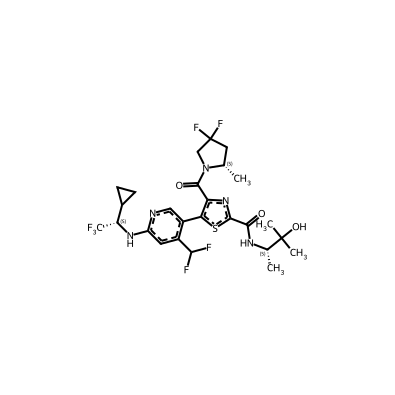 C[C@H](NC(=O)c1nc(C(=O)N2CC(F)(F)C[C@@H]2C)c(-c2cnc(N[C@@H](C3CC3)C(F)(F)F)cc2C(F)F)s1)C(C)(C)O